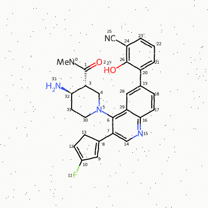 CNC(=O)[C@@H]1CN(c2c(C3=CC(F)=CC3)cnc3ccc(-c4cccc(C#N)c4O)cc23)CC[C@H]1N